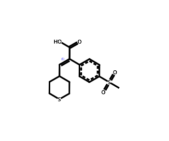 CS(=O)(=O)c1ccc(/C(=C\C2CCSCC2)C(=O)O)cc1